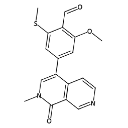 COc1cc(-c2cn(C)c(=O)c3cnccc23)cc(SC)c1C=O